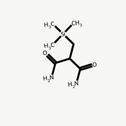 C[Si](C)(C)CC(C(N)=O)C(N)=O